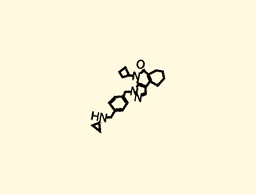 O=c1c2c(c3cnn(Cc4ccc(CNC5CC5)cc4)c3n1C1CCC1)CCCC2